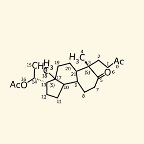 CC(=O)CC[C@]1(C)C(=O)CCC2C3CC[C@H](C(C)OC(C)=O)C3(C)CCC21